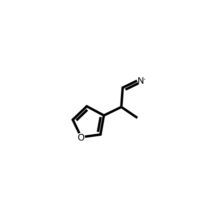 CC(C=[N])c1ccoc1